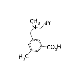 Cc1cc(CN(C)CC(C)C)cc(C(=O)O)c1